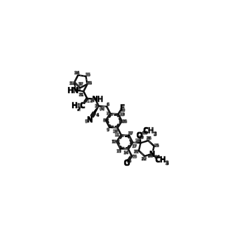 C=C(N[C@H](C#N)Cc1ccc(-c2ccc(C=O)c(C3(OC)CCN(C)CC3)c2)cc1F)C1NC2CCC1C2